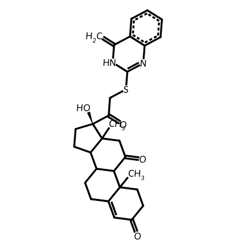 C=C1NC(SCC(=O)[C@@]2(O)CCC3C4CCC5=CC(=O)CCC5(C)C4C(=O)CC32C)=Nc2ccccc21